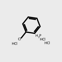 Cl.Cl.Cl.Clc1ccccc1.P